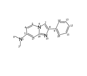 CN(C)c1ccn2cc(-c3ccccc3)nc2c1